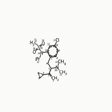 C=C(C1CC1)C(Cc1ccc(Cl)cc1N(C(C)C)S(C)(=O)=O)N(C)C